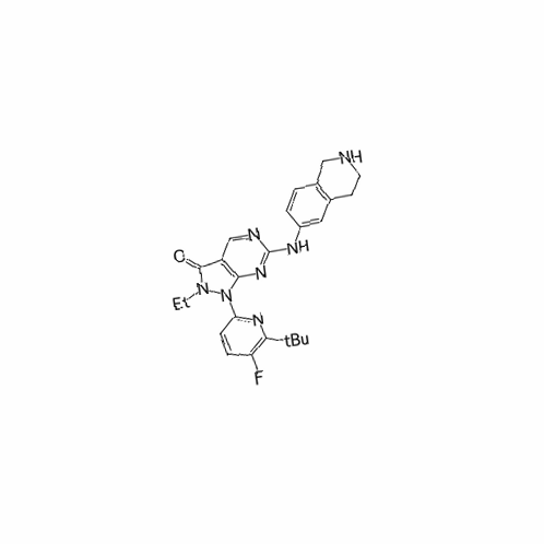 CCn1c(=O)c2cnc(Nc3ccc4c(c3)CCNC4)nc2n1-c1ccc(F)c(C(C)(C)C)n1